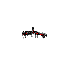 [N-]=[N+]=NCCCCCC(=O)NC(C(O)CCC(=O)NCCOCCOCCOCCOC[C@H]1OC[C@H](Nc2cncc(C(F)(F)F)n2)[C@@H](O)[C@H]1O)C(O)CCC(=O)NCCOCCOCCOCCOC[C@H]1OC[C@H](Nc2cncc(C(F)(F)F)n2)[C@@H](O)[C@H]1O